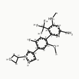 CNc1nc(N)nc(-c2cc(F)c(-c3cnn(C4COC4)c3)cc2OC)c1C(F)(F)F